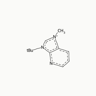 C[n+]1cn(C(C)(C)C)c2ncccc21